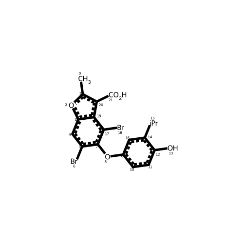 Cc1oc2cc(Br)c(Oc3ccc(O)c(C(C)C)c3)c(Br)c2c1C(=O)O